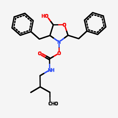 CC(CC=O)CNC(=O)ON1C(Cc2ccccc2)OC(O)C1Cc1ccccc1